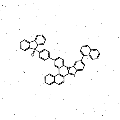 O=P1(c2ccc(-c3ccc4c(c3)c3c5ccccc5ccc3c3nc5ccc(-c6cccc7ccccc67)cc5n43)cc2)c2ccccc2-c2ccccc21